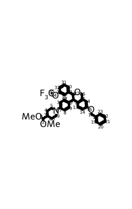 COC(OC)C1CCN(c2ccc(C3c4ccc(OCc5ccccc5)cc4COC3c3cccc(OC(F)(F)F)c3)cc2)CC1